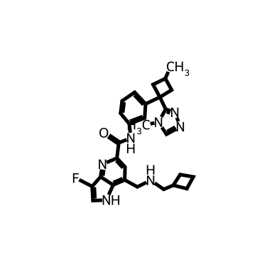 CC1CC(c2cccc(NC(=O)c3cc(CNCC4CCC4)c4[nH]cc(F)c4n3)c2)(c2nncn2C)C1